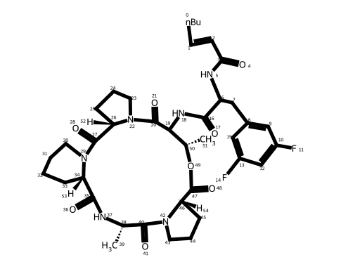 CCCC/C=C/C(=O)NC(Cc1cc(F)cc(F)c1)C(=O)NC1C(=O)N2CCC[C@H]2C(=O)N2CCCC[C@H]2C(=O)N[C@@H](C)C(=O)N2CCC[C@H]2C(=O)O[C@H]1C